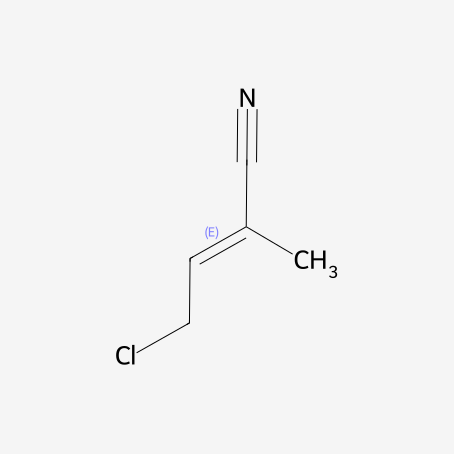 C/C(C#N)=C\CCl